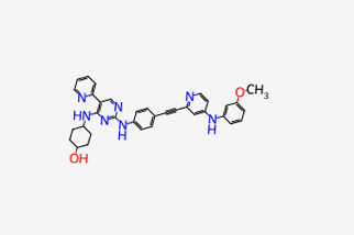 COc1cccc(Nc2ccnc(C#Cc3ccc(Nc4ncc(-c5ccccn5)c(NC5CCC(O)CC5)n4)cc3)c2)c1